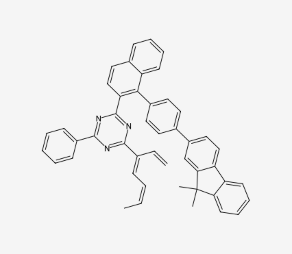 C=C/C(=C\C=C/C)c1nc(-c2ccccc2)nc(-c2ccc3ccccc3c2-c2ccc(-c3ccc4c(c3)C(C)(C)c3ccccc3-4)cc2)n1